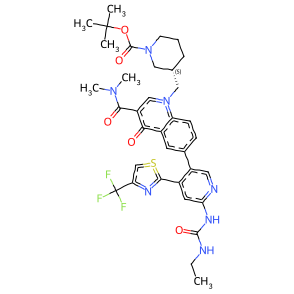 CCNC(=O)Nc1cc(-c2nc(C(F)(F)F)cs2)c(-c2ccc3c(c2)c(=O)c(C(=O)N(C)C)cn3C[C@H]2CCCN(C(=O)OC(C)(C)C)C2)cn1